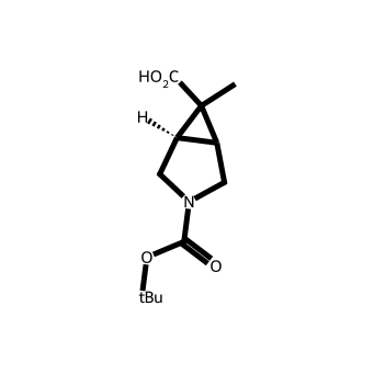 CC(C)(C)OC(=O)N1CC2[C@@H](C1)C2(C)C(=O)O